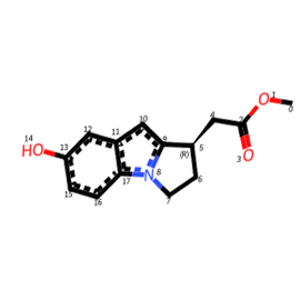 COC(=O)C[C@H]1CCn2c1cc1cc(O)ccc12